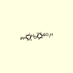 CC(C)c1ccc(COc2ccc(S(=O)(=O)O)cc2)cc1